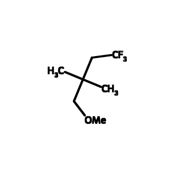 [CH2]OCC(C)(C)CC(F)(F)F